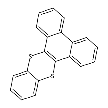 c1ccc2c(c1)Sc1c(c3ccccc3c3ccccc13)S2